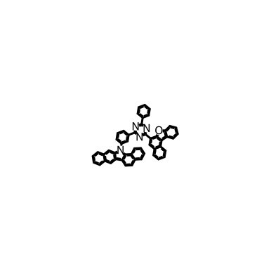 c1ccc(-c2nc(-c3cccc(-n4c5cc6ccccc6cc5c5ccc6ccccc6c54)c3)nc(-c3cc4ccccc4c4c3oc3ccccc34)n2)cc1